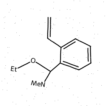 C=Cc1ccccc1C(NC)OCC